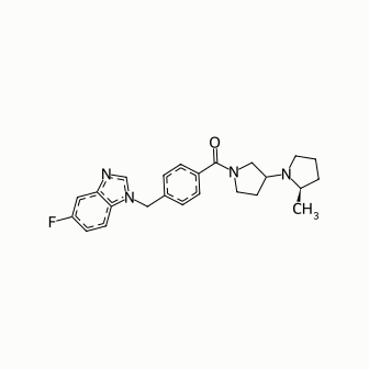 C[C@@H]1CCCN1C1CCN(C(=O)c2ccc(Cn3cnc4cc(F)ccc43)cc2)C1